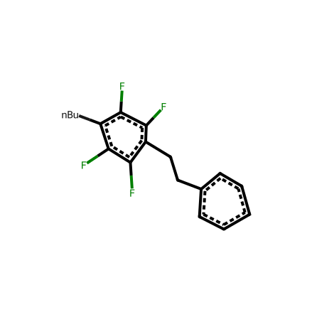 CCCCc1c(F)c(F)c(CCc2ccccc2)c(F)c1F